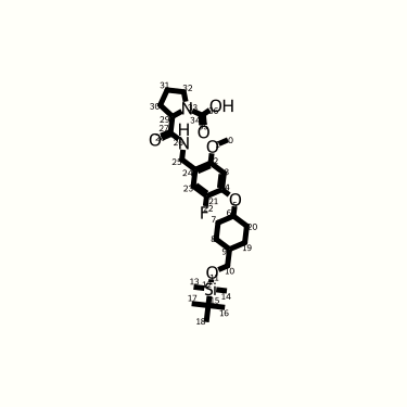 COc1cc(OC2CCC(CO[Si](C)(C)C(C)(C)C)CC2)c(F)cc1CNC(=O)C1CCCN1C(=O)O